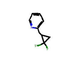 FC1(F)CC1c1ccccn1